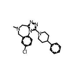 CN1Cc2cc(Cl)ccc2-n2c(nnc2N2CCC(c3ccccc3)CC2)C1